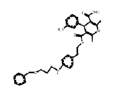 COC(=O)C1=C(C)NC(C)=C(C(=O)OCCc2ccc(NCCCOCc3ccccc3)cc2)C1c1cccc([N+](=O)[O-])c1